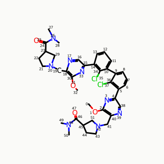 COc1nc(-c2cccc(-c3cccc(-c4cnc(CN5CCC(C(=O)N(C)C)C5)c(OC)n4)c3Cl)c2Cl)cnc1CN1CCC(C(=O)N(C)C)C1